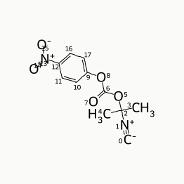 [C-]#[N+]C(C)(C)OC(=O)Oc1ccc([N+](=O)[O-])cc1